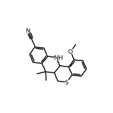 COc1cccc2c1C1Nc3cc(C#N)ccc3C(C)(C)C1CS2